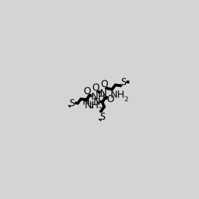 CSCCC(N)C(=O)NC(=O)N(C(=O)C(N)CCSC)C(=O)C(N)CCSC